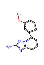 Nc1nc2cccc(-c3cccc(OC(F)(F)F)c3)n2n1